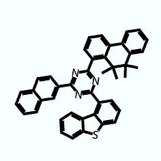 CC1(C)c2ccccc2-c2cccc(-c3nc(-c4ccc5ccccc5c4)nc(-c4cccc5sc6ccccc6c45)n3)c2C1(C)C